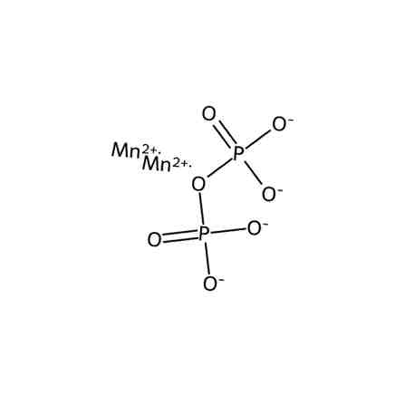 O=P([O-])([O-])OP(=O)([O-])[O-].[Mn+2].[Mn+2]